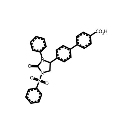 O=C(O)c1ccc(-c2ccc(C3CN(S(=O)(=O)c4ccccc4)C(=O)N3c3ccccc3)cc2)cc1